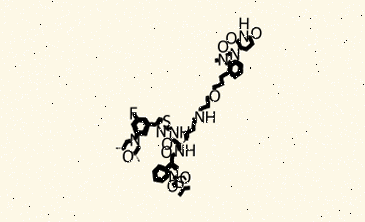 CC(C)S(=O)(=O)n1cc(C(=O)N[C@@H](CCCCNCCCOCCCc2cccc3c2n(C)c(=O)n3C2CCC(=O)NC2=O)C(=O)Nc2nc(-c3cc(F)cc(N4C[C@@H](C)O[C@@H](C)C4)c3)cs2)c2ccccc21